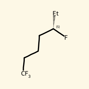 [CH2]C[C@H](F)CCCC(F)(F)F